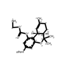 CCCCCc1cc(OC(=O)OCN)c2c(c1)OC(C)(C)[C@@H]1CCC(C)=C[C@@H]21